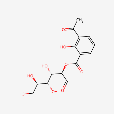 CC(=O)c1cccc(C(=O)O[C@@H](C=O)[C@@H](O)[C@H](O)[C@H](O)CO)c1O